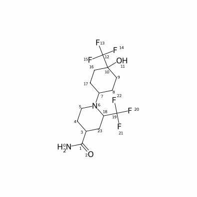 NC(=O)C1CCN(C2CCC(O)(C(F)(F)F)CC2)C(C(F)(F)F)C1